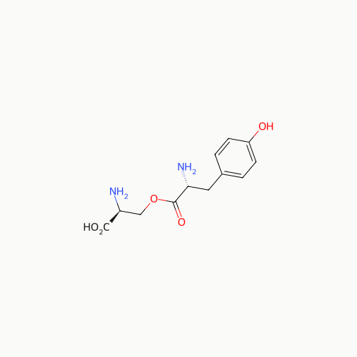 N[C@H](Cc1ccc(O)cc1)C(=O)OC[C@H](N)C(=O)O